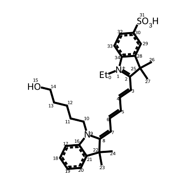 CC[N+]1=C(C=CC=CC=C2N(CCCCCO)c3ccccc3C2(C)C)C(C)(C)c2cc(S(=O)(=O)O)ccc21